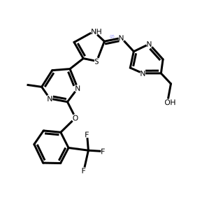 Cc1cc(-c2c[nH]/c(=N/c3cnc(CO)cn3)s2)nc(Oc2ccccc2C(F)(F)F)n1